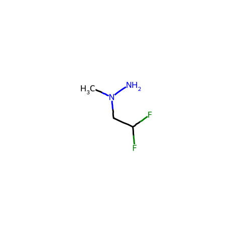 CN(N)CC(F)F